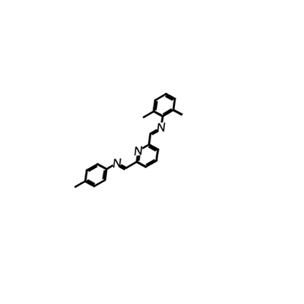 Cc1ccc(N=Cc2cccc(C=Nc3c(C)cccc3C)n2)cc1